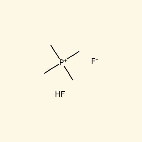 C[P+](C)(C)C.F.[F-]